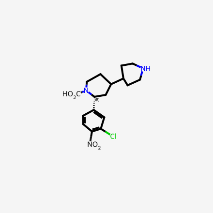 O=C(O)N1CCC(C2CCNCC2)C[C@@H]1c1ccc([N+](=O)[O-])c(Cl)c1